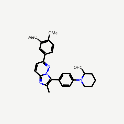 COc1ccc(-c2ccc3nc(C)c(-c4ccc(N5CCCCC5C=O)cc4)n3n2)cc1OC